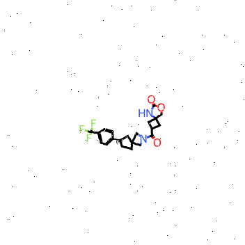 O=C1NC2(CO1)CC(C(=O)N1CC3(CC[C@@H](c4ccc(C(F)(F)F)cc4)C3)C1)C2